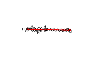 CC(=O)N(O)CCCCCNC(=O)CCC(=O)N(O)CCCCCNC(=O)CCC(=O)N(O)CCCCCNC(=O)CCOCCOCCOCCOCCOCCOCCOCCOCCOCCOCCOCCOCCC(=O)Oc1c(Cl)cccc1Cl